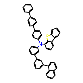 c1ccc(-c2ccc(-c3ccc(N(c4cccc(-c5cccc(-c6cccc7ccccc67)c5)c4)c4cccc5c4sc4ccccc45)cc3)cc2)cc1